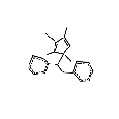 CC1=[C]C(C)(C([CH]c2ccccc2)c2ccccc2)C(C)=C1C